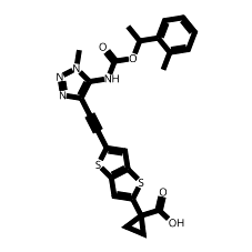 Cc1ccccc1C(C)OC(=O)Nc1c(C#Cc2cc3sc(C4(C(=O)O)CC4)cc3s2)nnn1C